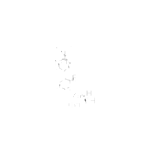 CC(C)(C)[Si](C)(C)OCc1cccc(-c2cnc(N3CCC3)nc2)c1F